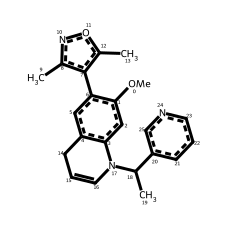 COc1cc2c(cc1-c1c(C)noc1C)CC=CN2C(C)c1cccnc1